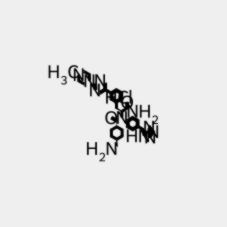 CN1CCN(c2ncc(-c3cccc(C[C@@H](C(N)=O)N(c4ccc(-c5nnn[nH]5)cc4)C(=O)[C@H]4CC[C@H](CN)CC4)c3)cn2)CC1.Cl